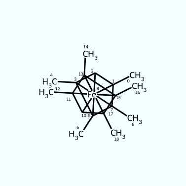 C[C]12[CH]3[C]4(C)[C]5(C)[C]1(C)[Fe]32451678[CH]2[C]1(C)[C]6(C)[C]7(C)[C]28C